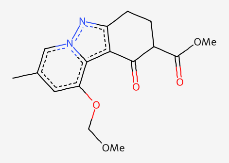 COCOc1cc(C)cn2nc3c(c12)C(=O)C(C(=O)OC)CC3